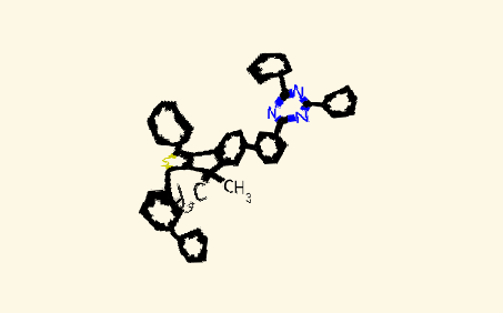 CC1(C)c2cc(-c3cccc(-c4nc(-c5ccccc5)nc(-c5ccccc5)n4)c3)ccc2-c2c(-c3ccccc3)sc(-c3cccc(-c4ccccc4)c3)c21